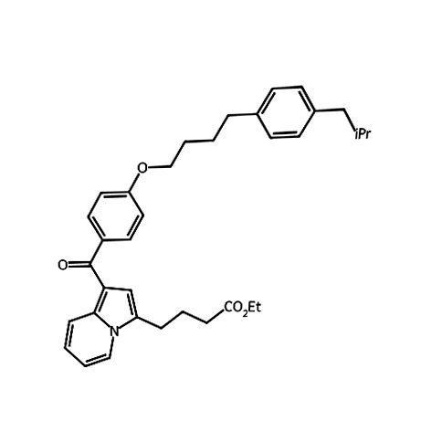 CCOC(=O)CCCc1cc(C(=O)c2ccc(OCCCCc3ccc(CC(C)C)cc3)cc2)c2ccccn12